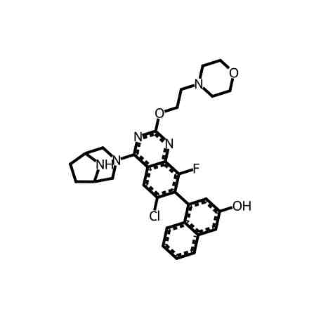 Oc1cc(-c2c(Cl)cc3c(N4CC5CCC(C4)N5)nc(OCCN4CCOCC4)nc3c2F)c2ccccc2c1